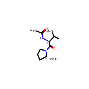 COC(=O)N[C@H](C(=O)N1CCC[C@H]1C(=O)O)C(C)OC